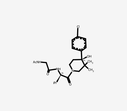 CC(=O)NCC(=O)N[C@@H](C(=O)N1CC[C@](O)(c2ccc(Cl)cc2)C(C)(C)C1)C(C)C